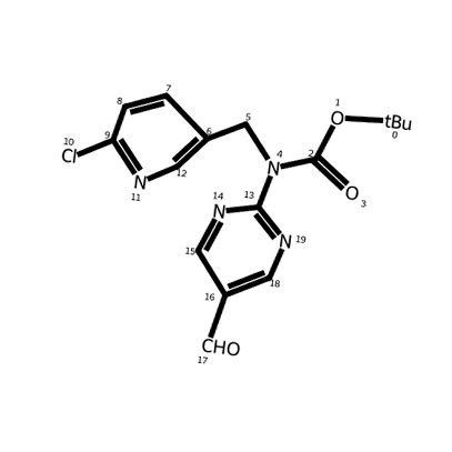 CC(C)(C)OC(=O)N(Cc1ccc(Cl)nc1)c1ncc(C=O)cn1